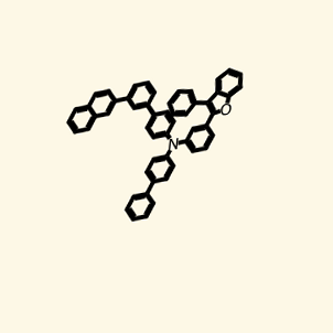 c1ccc(-c2ccc(N(c3ccc(-c4cccc(-c5ccc6ccccc6c5)c4)cc3)c3cccc(-c4oc5ccccc5c4-c4ccccc4)c3)cc2)cc1